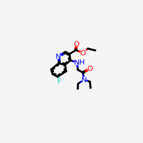 CCOC(=O)c1cnc2ccc(F)cc2c1NCC(=O)N(CC)CC